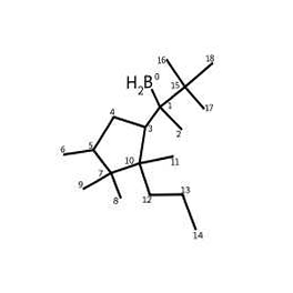 BC(C)(C1CC(C)C(C)(C)C1(C)CCC)C(C)(C)C